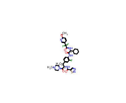 COc1ccc(C(F)(F)C(=O)N[C@H](C(=O)Nc2ccc([C@H](C)[C@@H](NC(=O)c3cnns3)C(=O)N3CCN(C)CC3)cc2F)C2CCCCC2)cn1